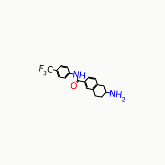 NC1CCc2cc(C(=O)Nc3ccc(C(F)(F)F)cc3)ccc2C1